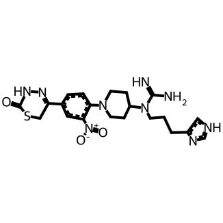 N=C(N)N(CCCc1c[nH]cn1)C1CCN(c2ccc(C3=NNC(=O)SC3)cc2[N+](=O)[O-])CC1